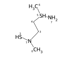 CN(S)CC[SH](C)N